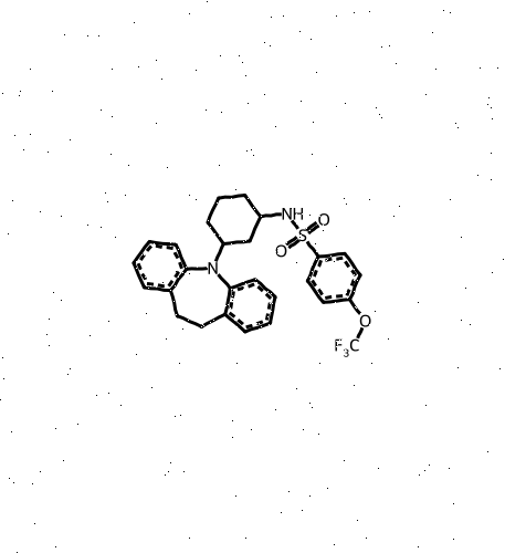 O=S(=O)(NC1CCCC(N2c3ccccc3CCc3ccccc32)C1)c1ccc(OC(F)(F)F)cc1